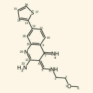 COCCN/C=C1\C(=N)c2ccc(-c3cccs3)cc2N=C1N